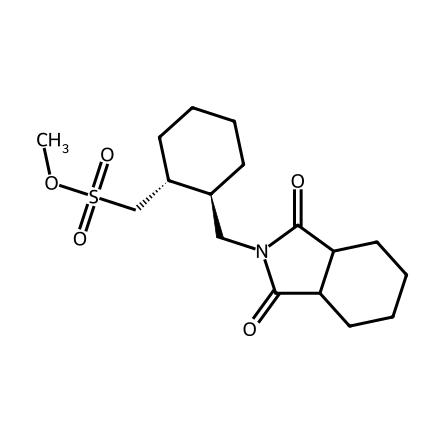 COS(=O)(=O)C[C@@H]1CCCC[C@H]1CN1C(=O)C2CCCCC2C1=O